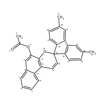 CC(=O)Oc1cc2ccccc2c2c1OC(c1ccc(C)cc1)(c1ccc(C)cc1)C=C2